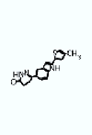 Cc1csc(-c2cc3cc(C4=NNC(=O)CC4)ccc3[nH]2)c1